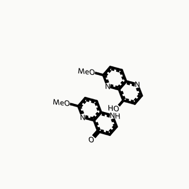 COc1ccc2[nH]ccc(=O)c2n1.COc1ccc2nccc(O)c2n1